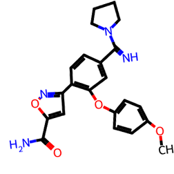 COc1ccc(Oc2cc(C(=N)N3CCCC3)ccc2-c2cc(C(N)=O)on2)cc1